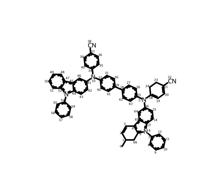 CC1C=Cc2c(n(-c3ccccc3)c3ccc(N(C4=CC=C(C#N)CC4)c4ccc(-c5ccc(N(c6ccc(C#N)cc6)c6ccc7c(c6)c6ccccc6n7-c6ccccc6)cc5)cc4)cc23)C1